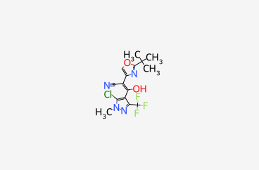 Cn1nc(C(F)(F)F)c(/C(O)=C(\C#N)c2coc(C(C)(C)C)n2)c1Cl